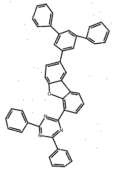 c1ccc(-c2cc(-c3ccccc3)cc(-c3ccc4oc5c(-c6nc(-c7ccccc7)nc(-c7ccccc7)n6)cccc5c4c3)c2)cc1